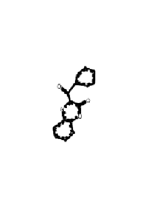 O=C(c1ccccc1)c1nc2ccccc2oc1=O